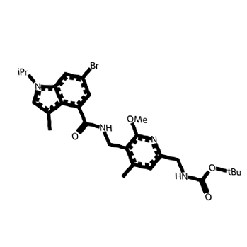 COc1nc(CNC(=O)OC(C)(C)C)cc(C)c1CNC(=O)c1cc(Br)cc2c1c(C)cn2C(C)C